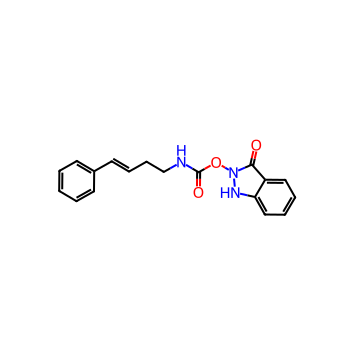 O=C(NCCC=Cc1ccccc1)On1[nH]c2ccccc2c1=O